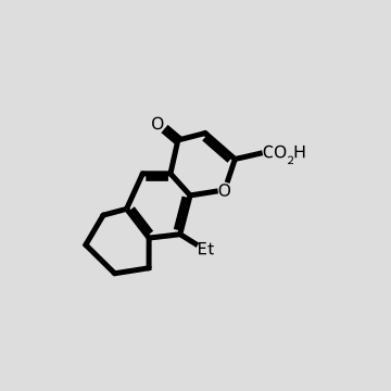 CCc1c2c(cc3c(=O)cc(C(=O)O)oc13)CCCC2